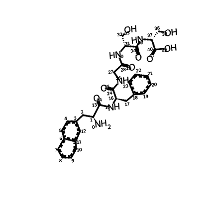 N[C@H](Cc1ccc2ccccc2c1)C(=O)N[C@H](Cc1ccccc1)C(=O)NCC(=O)N[C@H](CO)C(=O)N[C@H](CO)C(=O)O